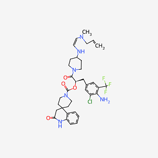 C=CCN(C)/C=C\NC1CCN(C(=O)[C@@H](Cc2cc(Cl)c(N)c(C(F)(F)F)c2)OC(=O)N2CCC3(CC2)CC(=O)Nc2ccccc23)CC1